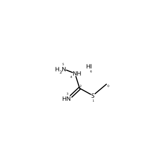 CSC(=N)NN.I